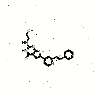 O=c1[nH]c(NCCO)nc2[nH]c(-c3ccnc(/C=C/c4ccccc4)c3)cc12